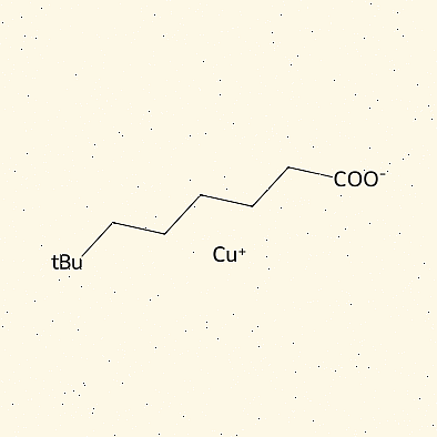 CC(C)(C)CCCCCC(=O)[O-].[Cu+]